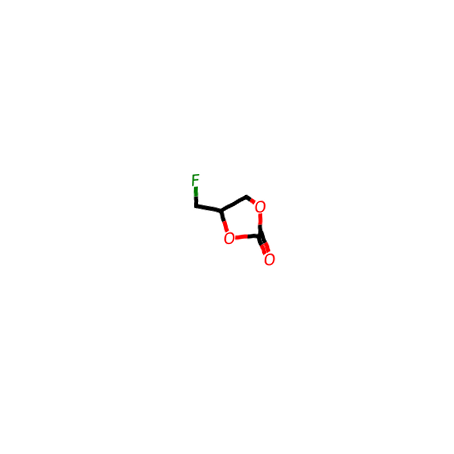 O=C1OCC(CF)O1